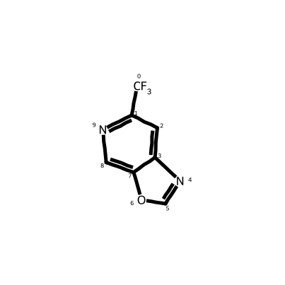 FC(F)(F)c1cc2ncoc2cn1